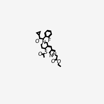 CCOC(=O)Cn1cc(C=C2CN(C(C(=O)C3CC3)c3ccccc3F)CCC2SC(C)=O)cn1